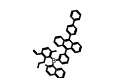 C=Cc1ccc(C)c(B(c2cccc(-c3c4ccccc4c(-c4ccc(-c5ccccc5)cc4)c4ccccc34)c2)c2c(C)ccc3ccccc23)c1CCC